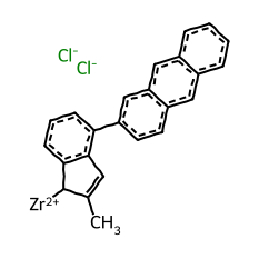 CC1=Cc2c(-c3ccc4cc5ccccc5cc4c3)cccc2[CH]1[Zr+2].[Cl-].[Cl-]